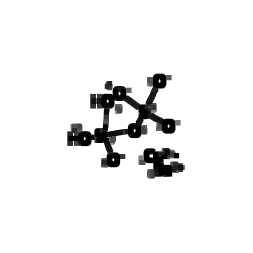 [Ba+2].[Cu+2].[O-][Si]([O-])([O-])O[Si]([O-])(O)O